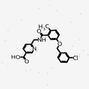 Cc1ccc(OCc2cccc(Cl)c2)cc1C(=O)NCc1ccc(C(=O)O)cn1